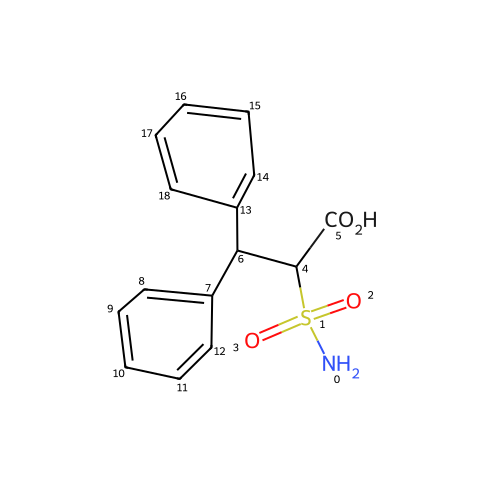 NS(=O)(=O)C(C(=O)O)C(c1ccccc1)c1ccccc1